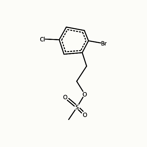 CS(=O)(=O)OCCc1cc(Cl)ccc1Br